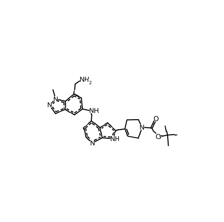 Cn1ncc2cc(Nc3ccnc4[nH]c(C5=CCN(C(=O)OC(C)(C)C)CC5)cc34)cc(CN)c21